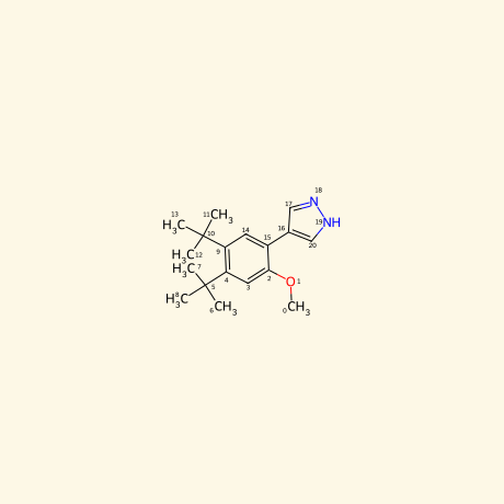 COc1cc(C(C)(C)C)c(C(C)(C)C)cc1-c1cn[nH]c1